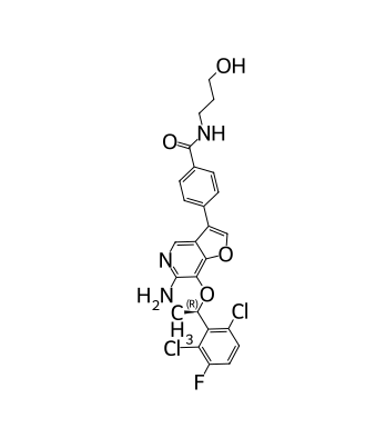 C[C@@H](Oc1c(N)ncc2c(-c3ccc(C(=O)NCCCO)cc3)coc12)c1c(Cl)ccc(F)c1Cl